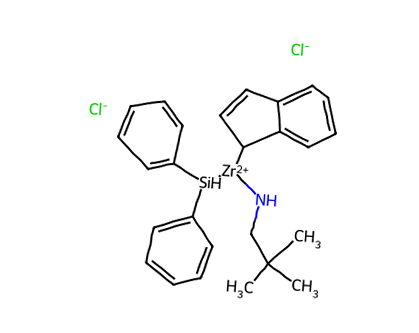 CC(C)(C)C[NH][Zr+2]([CH]1C=Cc2ccccc21)[SiH](c1ccccc1)c1ccccc1.[Cl-].[Cl-]